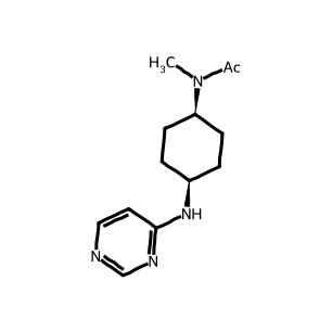 CC(=O)N(C)[C@H]1CC[C@@H](Nc2ccncn2)CC1